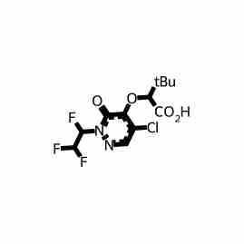 CC(C)(C)C(Oc1c(Cl)cnn(C(F)C(F)F)c1=O)C(=O)O